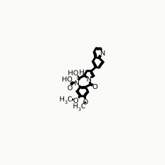 COc1cc2c(cc1OC)N(C(=O)O)[C@@H](O)[C@@H]1CC(c3ccc4ncccc4c3)=CN1C2=O